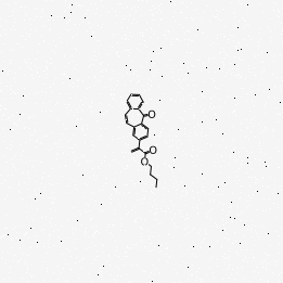 C=C(C(=O)OCCCC)c1ccc2c(=O)c3ccccc3ccc2c1